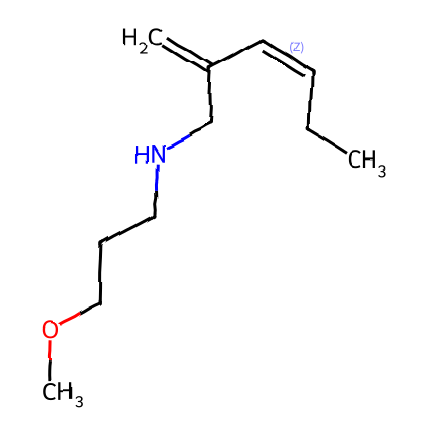 C=C(/C=C\CC)CNCCCOC